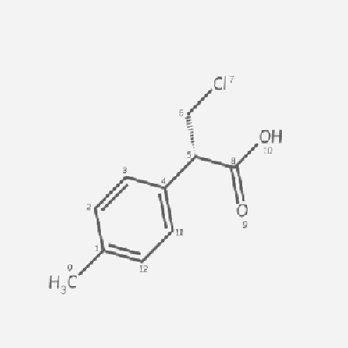 Cc1ccc([C@H](CCl)C(=O)O)cc1